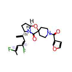 C=C(/C=C(F)\C=C(/C)F)[C@@H]1CC[C@H]2OC3(CCN(C(=O)c4ccoc4)CC3)C(=O)N21